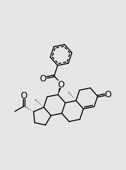 CC(=O)[C@H]1CCC2C3CCC4=CC(=O)CC[C@]4(C)C3[C@H](OC(=O)c3ccccc3)C[C@@]21C